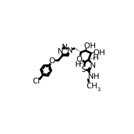 CCNC1=N[C@@H]2[C@@H](O)[C@H](O)[C@@H](Cn3cc(COc4ccc(Cl)cc4)nn3)O[C@@H]2S1